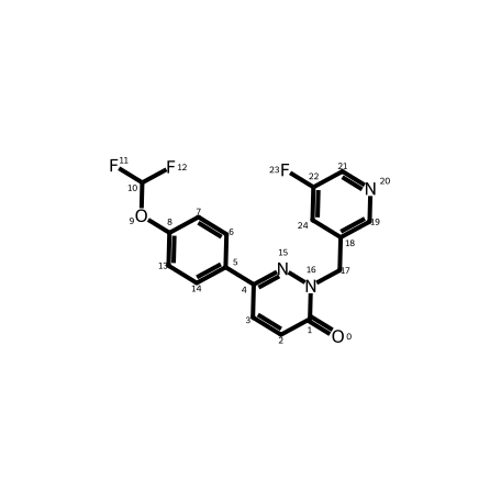 O=c1ccc(-c2ccc(OC(F)F)cc2)nn1Cc1cncc(F)c1